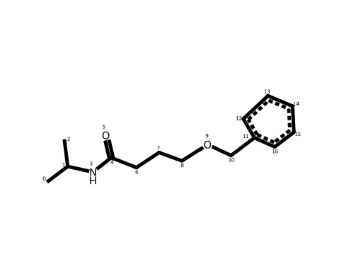 CC(C)NC(=O)CCCOCc1ccccc1